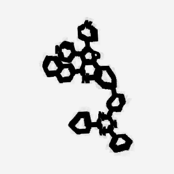 c1ccc(-c2nc(-c3ccccc3)nc(-c3cccc(-c4ccc5c(c4)nc(-c4ccc6ccccc6c4)c4c(-c6ccncc6)c(-c6ccncc6)oc45)c3)n2)cc1